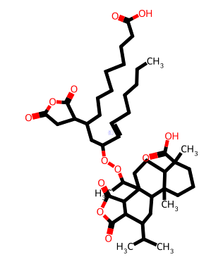 CCCCC/C=C/C(CC(CCCCCCCC(=O)O)C1CC(=O)OC1=O)OOC(C)C12CCC3C(C)(C(=O)O)CCCC3(C)C1CC(C(C)C)C1C(=O)OC(=O)C12